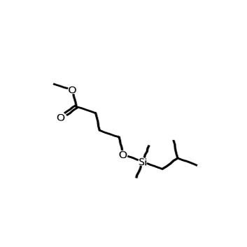 COC(=O)CCCO[Si](C)(C)CC(C)C